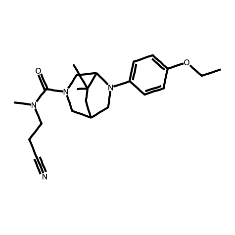 CCOc1ccc(N2CC3CN(C(=O)N(C)CCC#N)CC2C(C)(C)C3)cc1